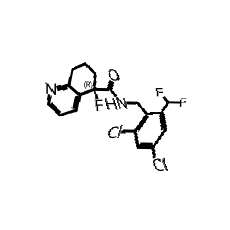 O=C(NCc1c(Cl)cc(Cl)cc1C(F)F)[C@@]1(F)CCCc2ncccc21